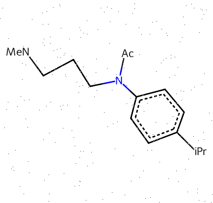 CNCCCN(C(C)=O)c1ccc(C(C)C)cc1